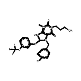 Cn1c2c(c(=O)n(CCCO)c1=O)N(Cc1ccc(Cl)cc1)C(Oc1cccc(OC(F)(F)F)c1)N2